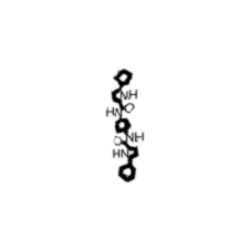 O=C(Nc1ccc(NC(=O)c2ccc(-c3ccccc3)[nH]2)cc1)c1ccc(-c2ccccc2)[nH]1